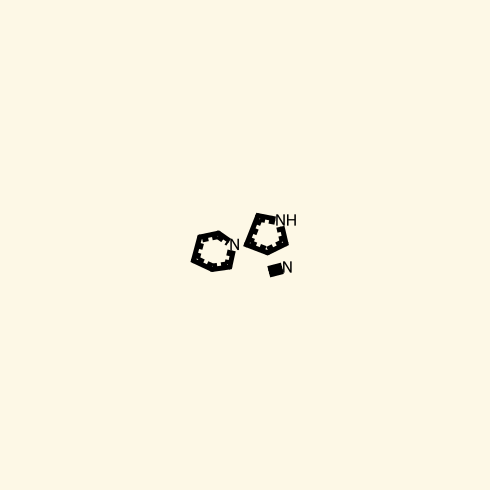 C#N.c1cc[nH]c1.c1ccncc1